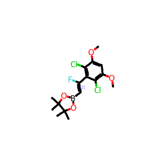 COc1cc(OC)c(Cl)c(/C(F)=C/B2OC(C)(C)C(C)(C)O2)c1Cl